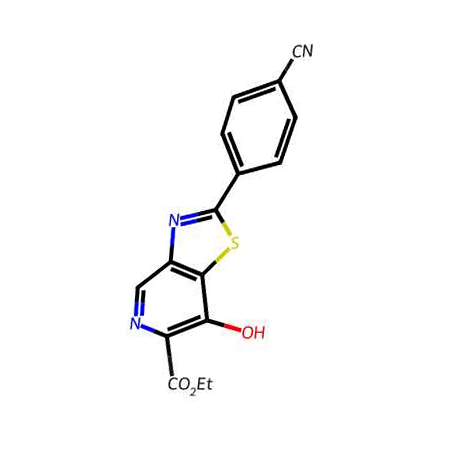 CCOC(=O)c1ncc2nc(-c3ccc(C#N)cc3)sc2c1O